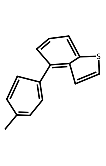 Cc1ccc(-c2cccc3sccc23)cc1